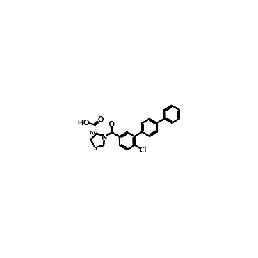 O=C(O)[C@H]1CSCN1C(=O)c1ccc(Cl)c(-c2ccc(-c3ccccc3)cc2)c1